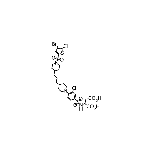 O=C(O)CC(NS(=O)(=O)c1ccc(N2CCC(CCCC3CCN(S(=O)(=O)c4cc(Br)c(Cl)s4)CC3)CC2)c(Cl)c1)C(=O)O